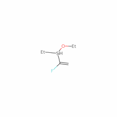 C=C(F)[SiH](CC)OCC